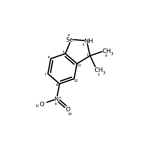 CC1(C)N[Se]c2ccc([N+](=O)[O-])cc21